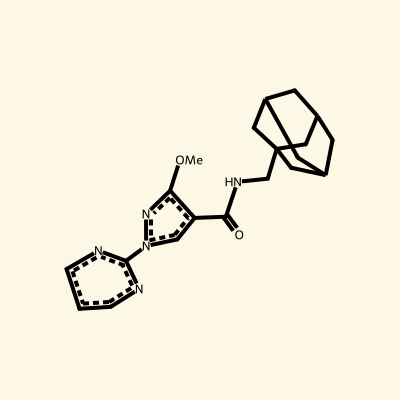 COc1nn(-c2ncccn2)cc1C(=O)NCC12CC3CC(CC(C3)C1)C2